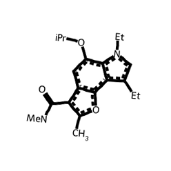 CCc1cn(CC)c2c(OC(C)C)cc3c(C(=O)NC)c(C)oc3c12